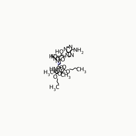 CCCCOC(=O)[C@H](C)NP(=O)(/C=C/[C@@]1(N=[N+]=[N-])O[C@@H](n2cnc3c(N)ncnc32)[C@H](O)[C@@H]1O)N[C@@H](C)C(=O)OCCCC